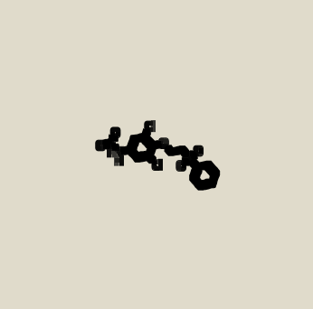 O=[SH](=O)Nc1cc(Cl)c(OCCS(=O)(=O)c2ccccc2)c(Cl)c1